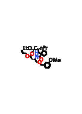 C=CCOC(=O)C[C@@H](COCc1cccc(OC)c1)NC(=O)C1(C[C@@H](CCC)C(=O)OCC)CCCC1